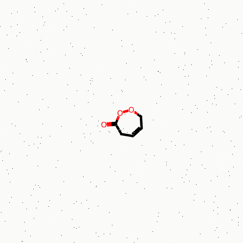 O=C1CC=CCOO1